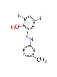 Cc1cccc(/N=C/c2cc(I)cc(I)c2O)c1